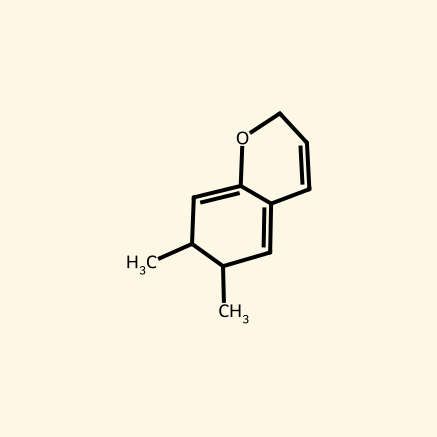 CC1C=C2C=CCOC2=CC1C